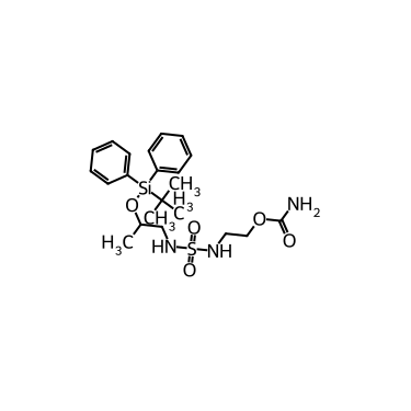 CC(CNS(=O)(=O)NCCOC(N)=O)O[Si](c1ccccc1)(c1ccccc1)C(C)(C)C